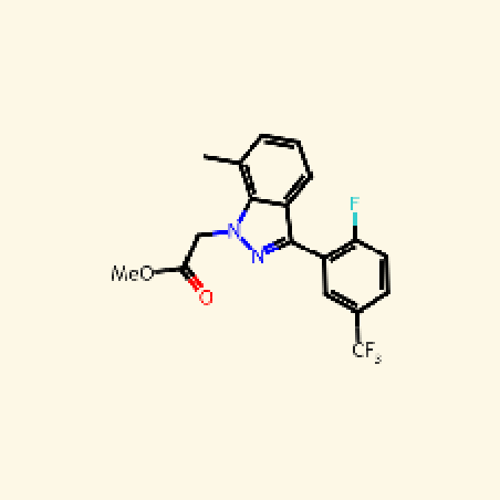 COC(=O)Cn1nc(-c2cc(C(F)(F)F)ccc2F)c2cccc(C)c21